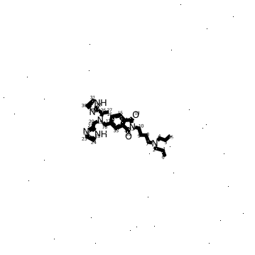 CCCN(CCC)CCCCN1C(=O)c2ccc(CN(Cc3ncc[nH]3)C(C)c3ncc[nH]3)cc2C1=O